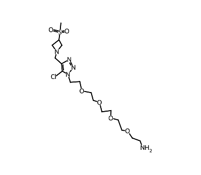 CS(=O)(=O)C1CN(Cc2nnn(CCOCCOCCOCCOCCN)c2Cl)C1